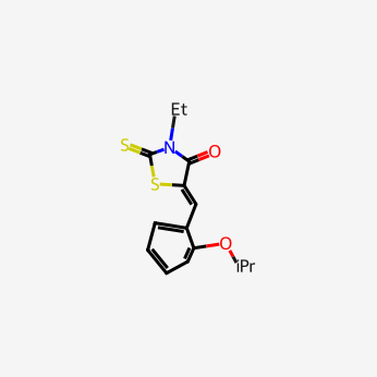 CCN1C(=O)/C(=C/c2ccccc2OC(C)C)SC1=S